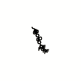 CCCC12COC(C3CCC(C(=O)OC4CCC(c5cc(F)c(OC(F)(F)C=C(F)F)c(F)c5)CC4)CC3)(OC1)OC2